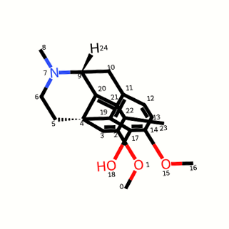 COC1=C[C@]23CCN(C)[C@H](Cc4ccc(OC)c(O)c42)C3=CC1C